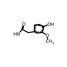 COc1cc(CC([NH])=O)ccc1O